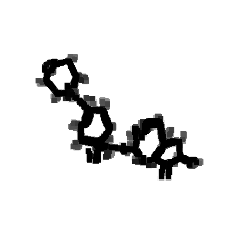 O=C1Cc2cnc(Nc3ccc(N4CCOCC4)cc3)nc2N1